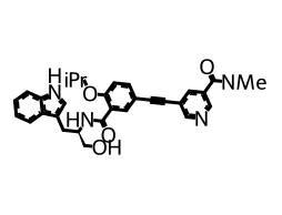 CNC(=O)c1cncc(C#Cc2ccc(OC(C)C)c(C(=O)N[C@@H](CO)Cc3c[nH]c4ccccc34)c2)c1